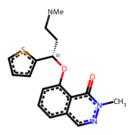 CNCC[C@H](Oc1cccc2cnn(C)c(=O)c12)c1cccs1